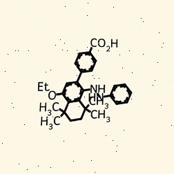 CCOc1cc(-c2ccc(C(=O)O)cc2)c(NNc2ccccc2)c2c1C(C)(C)CCC2(C)C